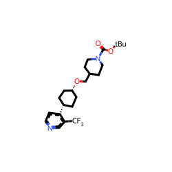 CC(C)(C)OC(=O)N1CCC(CO[C@H]2CC[C@@H](c3ccncc3C(F)(F)F)CC2)CC1